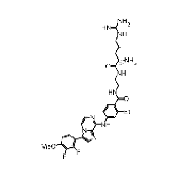 CCc1cc(Nc2nccn3c(-c4ccc(OC)c(F)c4F)cnc23)ccc1C(=O)NCCNC(=O)[C@@H](N)CCCNC(=N)N